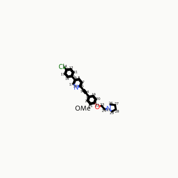 COc1cc(C#Cc2ccc(-c3ccc(Cl)cc3)cn2)ccc1OCCN1CCCC1